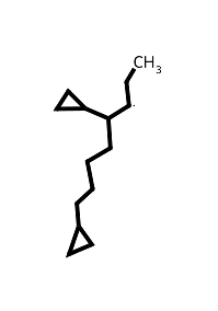 CC[CH]C(CCCCC1CC1)C1CC1